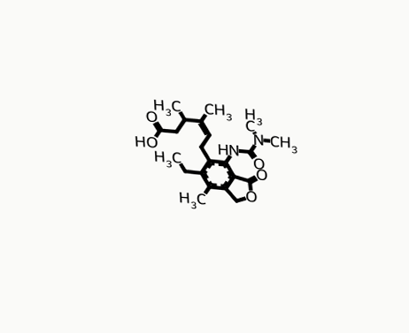 CCc1c(C)c2c(c(NC(=O)N(C)C)c1CC=C(C)C(C)CC(=O)O)C(=O)OC2